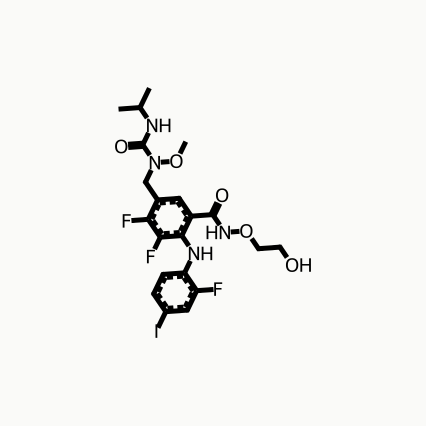 CON(Cc1cc(C(=O)NOCCO)c(Nc2ccc(I)cc2F)c(F)c1F)C(=O)NC(C)C